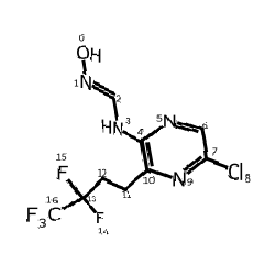 O/N=C/Nc1ncc(Cl)nc1CCC(F)(F)C(F)(F)F